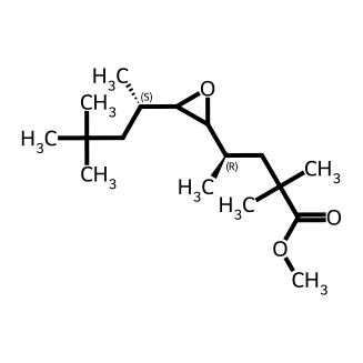 COC(=O)C(C)(C)C[C@@H](C)C1OC1[C@@H](C)CC(C)(C)C